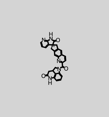 O=C1CC2CN(C(=O)c3ccc4cc5c(cc4n3)C[C@]3(C5)C(=O)Nc4ncccc43)c3cccc(c32)N1